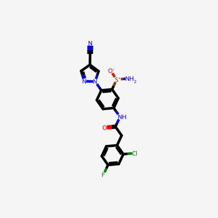 N#Cc1cnn(-c2ccc(NC(=O)Cc3ccc(F)cc3Cl)cc2[S+](N)[O-])c1